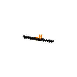 CCCCCCCCCCCCPCCCPCCCCCCCCCCCC